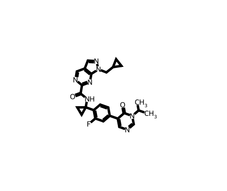 CC(C)n1cncc(-c2ccc(C3(NC(=O)c4ncc5cnn(CC6CC6)c5n4)CC3)c(F)c2)c1=O